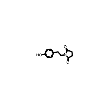 O=C1CCC(=O)N1CCc1ccc(O)cc1